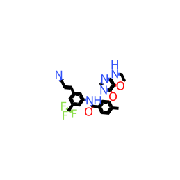 Cc1ccc(C(=O)Nc2cc(/C=C/C#N)cc(C(F)(F)F)c2)cc1Oc1ncnc2c1OCCN2